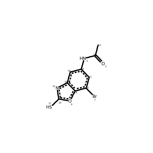 CC(=O)Nc1cc(Br)c2oc(S)nc2c1